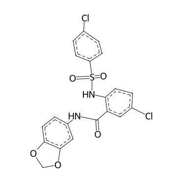 O=C(Nc1ccc2c(c1)OCO2)c1cc(Cl)ccc1NS(=O)(=O)c1ccc(Cl)cc1